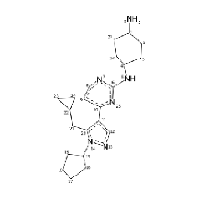 NC1CCC(Nc2nccc(-c3cnn(C4CCCC4)c3CC3CC3)n2)CC1